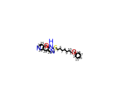 O=c1[nH]c(SCCCCCCCOc2ccccc2)ncc1Cc1cccnc1